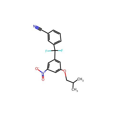 CC(C)COc1cc([N+](=O)[O-])cc(C(F)(F)c2cccc(C#N)c2)c1